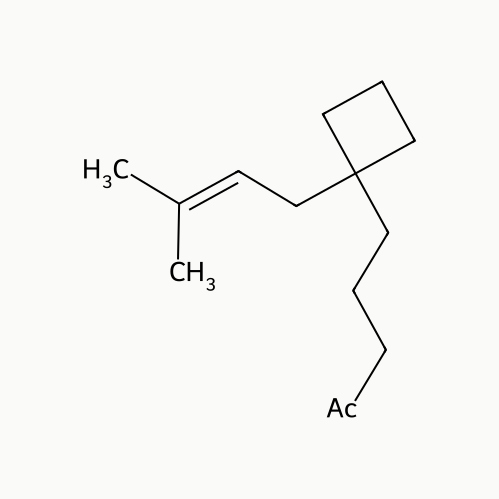 CC(=O)CCCC1(CC=C(C)C)CCC1